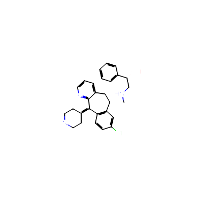 CN[C@@H](C)[C@@H](O)c1ccccc1.Clc1ccc2c(c1)CCc1cccnc1C2=C1CCNCC1